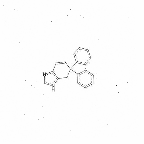 C1=CC(c2ccccc2)(c2ccccc2)Cc2[nH]cnc21